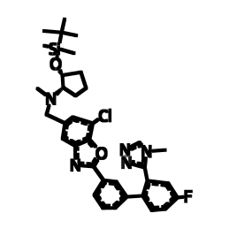 CN(Cc1cc(Cl)c2oc(-c3cccc(-c4ccc(F)cc4-c4nncn4C)c3)nc2c1)[C@@H]1CCC[C@@H]1O[Si](C)(C)C(C)(C)C